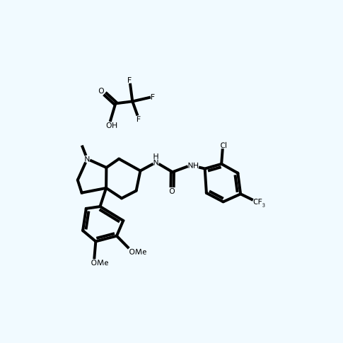 COc1ccc(C23CCC(NC(=O)Nc4ccc(C(F)(F)F)cc4Cl)CC2N(C)CC3)cc1OC.O=C(O)C(F)(F)F